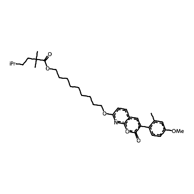 COc1ccc(-c2cc3ccc(OCCCCCCCCCOC(=O)C(C)(C)CCC(C)C)nc3oc2=O)c(C)c1